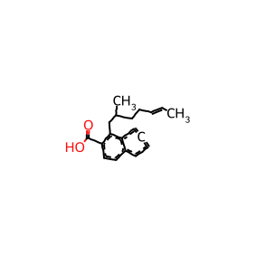 CC=CCCC(C)Cc1c(C(=O)O)ccc2ccccc12